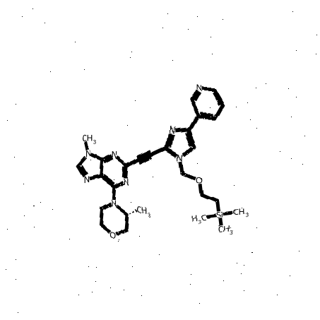 C[C@@H]1COCCN1c1nc(C#Cc2nc(-c3cccnc3)cn2COCC[Si](C)(C)C)nc2c1ncn2C